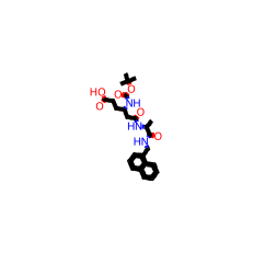 CC(NC(=O)CC(CCC(=O)O)NC(=O)OC(C)(C)C)C(=O)NCc1cccc2ccccc12